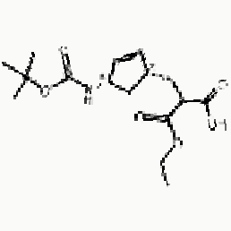 CCOC(=O)C(C[C@H]1C=C[C@@H](NC(=O)OC(C)(C)C)C1)C(=O)O